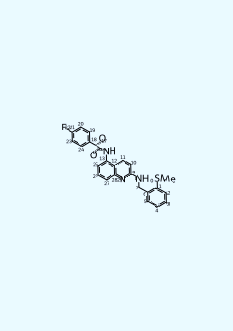 CSc1ccccc1CNc1ccc2c(NS(=O)(=O)c3ccc(F)cc3)cccc2n1